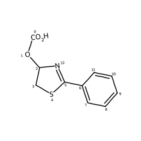 O=C(O)OC1CSC(c2ccccc2)=N1